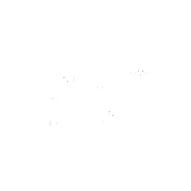 COc1ccc(-c2noc(-c3ccc(O)cc3)c2C(=O)c2ccc(OC(C)C3CCCCN3)cc2)cc1